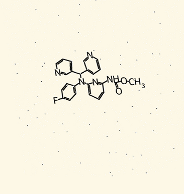 COC(=O)Nc1cccc(N(c2ccc(F)cc2)C(c2cccnc2)c2cccnc2)n1